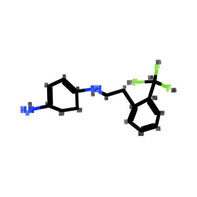 NC1=CC=C(NCCc2ccccc2C(F)(F)F)CC1